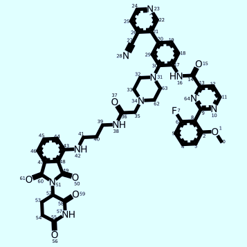 COc1cccc(F)c1-c1nccc(C(=O)Nc2ccc(-c3cnccc3C#N)cc2N2CCN(CC(=O)NCCCNc3cccc4c3C(=O)N(C3CCC(=O)NC3=O)C4=O)CC2)n1